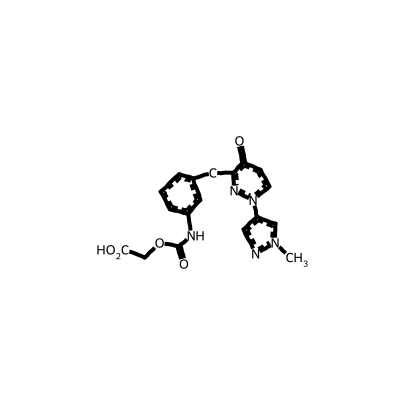 Cn1cc(-n2ccc(=O)c(Cc3cccc(NC(=O)OCC(=O)O)c3)n2)cn1